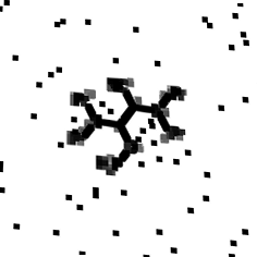 CC(C)N(C(C)C)C(C#N)C(OP)N(C(C)C)C(C)C